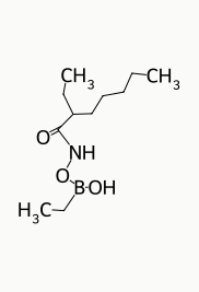 CCCCCC(CC)C(=O)NOB(O)CC